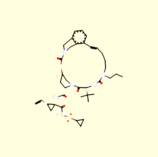 C=C[C@@H]1C[C@]1(NC(=O)[C@@H]1C[C@@H]2CN1C(=O)[C@H](C(C)(C)C)NC(=O)N(CCC)CCC/C=C/c1cccc3c1CN(C3)C(=O)O2)C(=O)NS(=O)(=O)C1CC1